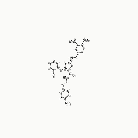 COc1ccc(CN[C@H]2C[C@@H](C(=O)NCCc3ccc([N+](=O)[O-])cc3)N(Cc3ccccc3Cl)C2)cc1OC